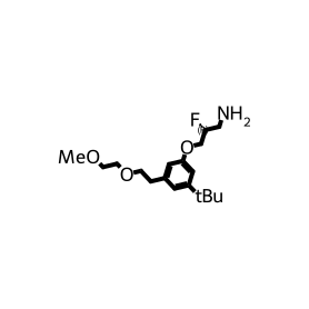 COCCOCCc1cc(OC[C@H](F)CN)cc(C(C)(C)C)c1